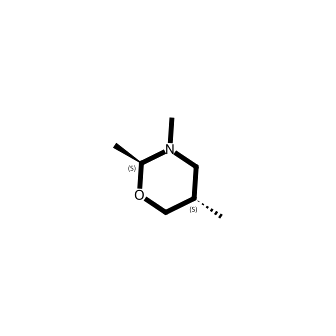 C[C@@H]1CO[C@@H](C)N(C)C1